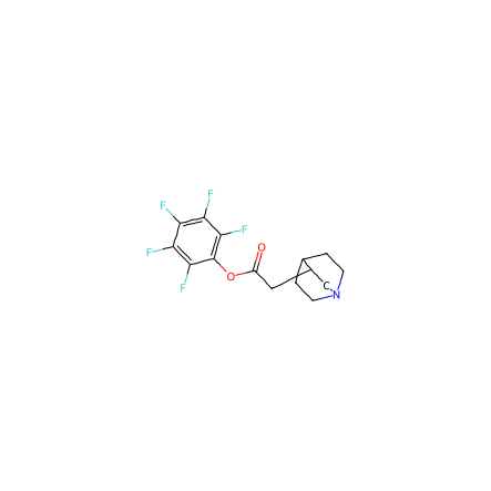 O=C(CC1CN2CCC1CC2)Oc1c(F)c(F)c(F)c(F)c1F